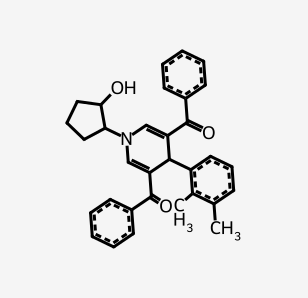 Cc1cccc(C2C(C(=O)c3ccccc3)=CN(C3CCCC3O)C=C2C(=O)c2ccccc2)c1C